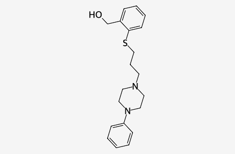 OCc1ccccc1SCCCN1CCN(c2ccccc2)CC1